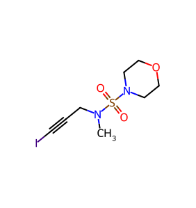 CN(CC#CI)S(=O)(=O)N1CCOCC1